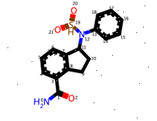 NC(=O)c1cccc2c1CCC2N(c1ccccc1)[SH](=O)=O